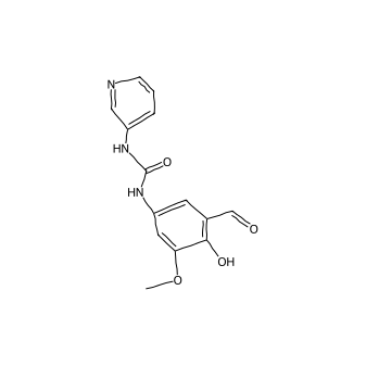 COc1cc(NC(=O)Nc2cccnc2)cc(C=O)c1O